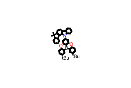 CC(C)(C)c1ccc2c(c1)B1c3cc(C(C)(C)C)ccc3Oc3cc(-n4c5ccccc5c5ccc6c(c54)-c4ccccc4C6(C)C)cc(c31)O2